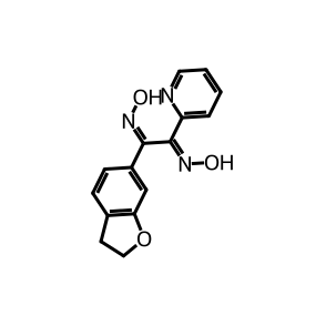 ON=C(C(=NO)c1ccccn1)c1ccc2c(c1)OCC2